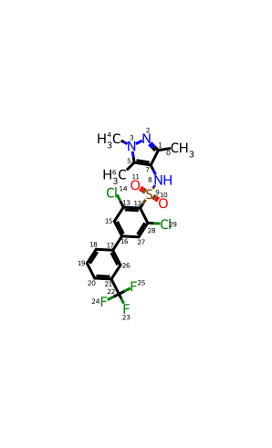 Cc1nn(C)c(C)c1NS(=O)(=O)c1c(Cl)cc(-c2cccc(C(F)(F)F)c2)cc1Cl